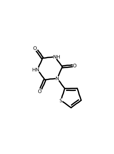 O=c1[nH]c(=O)n(-c2cccs2)c(=O)[nH]1